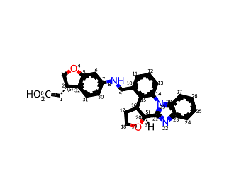 O=C(O)C[C@@H]1COc2cc(NCc3cccc4c3C3CCO[C@@H]3c3nc5ccccc5n3-4)ccc21